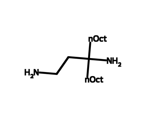 CCCCCCCCC(N)(CCN)CCCCCCCC